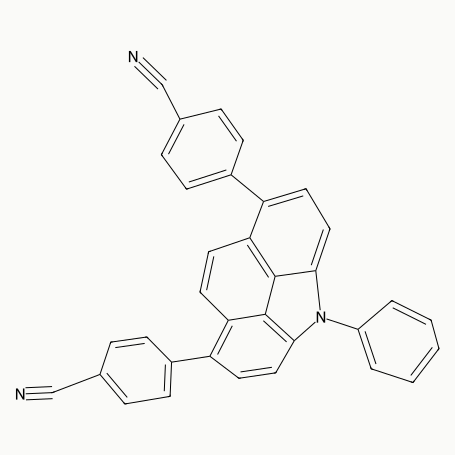 N#Cc1ccc(-c2ccc3c4c2ccc2c(-c5ccc(C#N)cc5)ccc(c24)n3-c2ccccc2)cc1